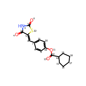 O=C1NC(=O)C(=Cc2ccc(OC(=O)C3CCCCC3)cc2)S1